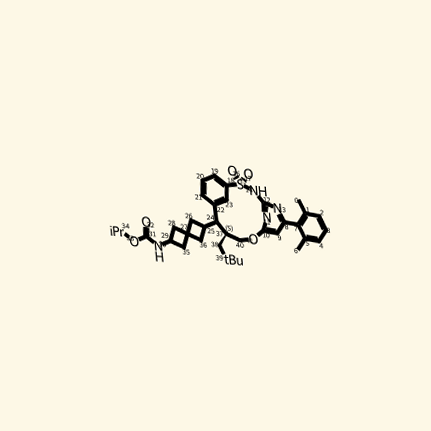 Cc1cccc(C)c1-c1cc2nc(n1)NS(=O)(=O)c1cccc(c1)C(C1CC3(CC(NC(=O)OC(C)C)C3)C1)[C@H](CC(C)(C)C)CO2